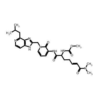 COC(=O)NC(CCC=CC(=O)N(C)C)C(=O)Nc1cccn(Cc2nc3c(CC(C)C)nccc3[nH]2)c1=O